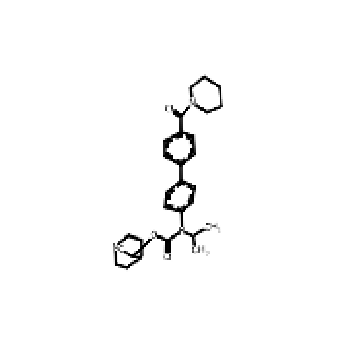 CC(C)N(C(=O)OC1CN2CCC1CC2)c1ccc(-c2ccc(C(=O)N3CCCCC3)cc2)cc1